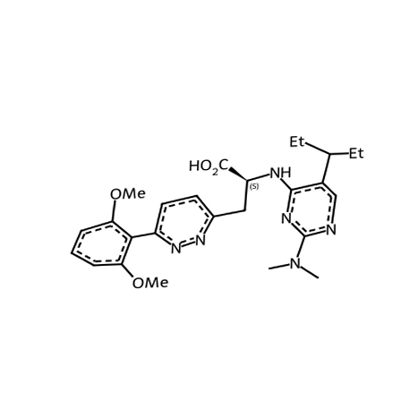 CCC(CC)c1cnc(N(C)C)nc1N[C@@H](Cc1ccc(-c2c(OC)cccc2OC)nn1)C(=O)O